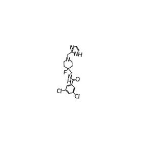 O=C(NCC1(F)CCN(Cc2ncc[nH]2)CC1)c1cc(Cl)cc(Cl)c1